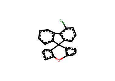 Clc1cccc2c1-c1ccccc1C21c2ccccc2Oc2ccccc21